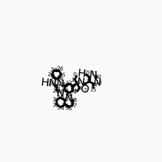 CCC(CC)(NC(=O)c1c(C)ncnc1C)c1ccc(N(Cc2nc3ccccc3[nH]2)C2CCCc3cccnc32)cc1